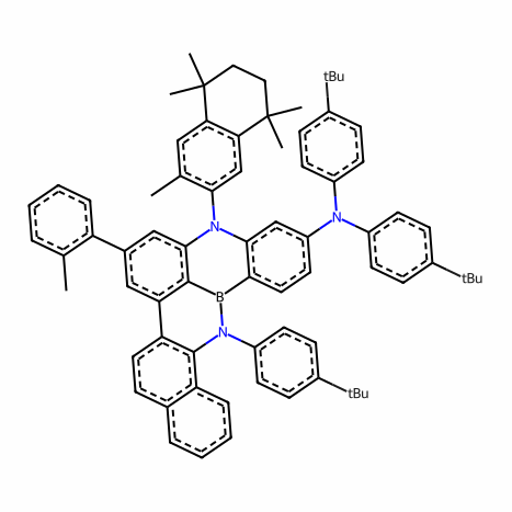 Cc1ccccc1-c1cc2c3c(c1)N(c1cc4c(cc1C)C(C)(C)CCC4(C)C)c1cc(N(c4ccc(C(C)(C)C)cc4)c4ccc(C(C)(C)C)cc4)ccc1B3N(c1ccc(C(C)(C)C)cc1)c1c-2ccc2ccccc12